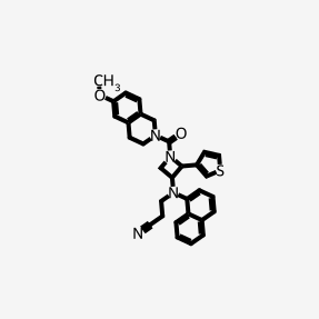 COc1ccc2c(c1)CCN(C(=O)N1CC(N(CCC#N)c3cccc4ccccc34)C1c1ccsc1)C2